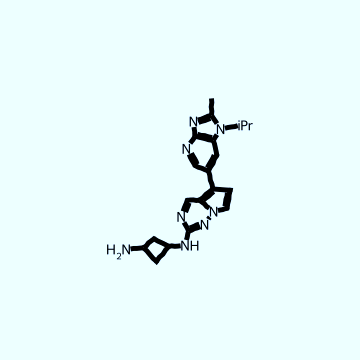 Cc1nc2ncc(-c3ccn4nc(NC5CC(N)C5)ncc34)cc2n1C(C)C